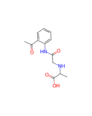 CC(=O)c1ccccc1NC(=O)CNC(C)C(=O)O